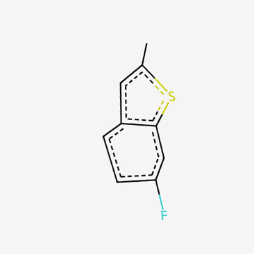 Cc1cc2ccc(F)cc2s1